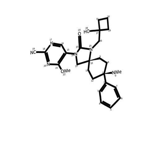 CN[C@]1(c2ccccc2)CC[C@@]2(CC1)CN(c1cnc(C#N)nc1OC)C(=O)N2CC1(O)CCC1